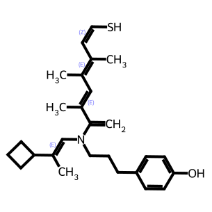 C=C(/C(C)=C/C(C)=C(C)/C=C\S)N(/C=C(\C)C1CCC1)CCCc1ccc(O)cc1